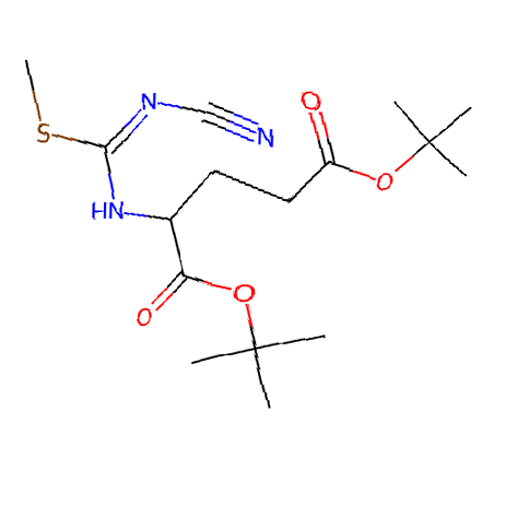 CSC(=NC#N)NC(CCC(=O)OC(C)(C)C)C(=O)OC(C)(C)C